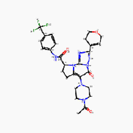 CC(=O)N1CCN(c2c3n(c4nc(C5=CCOCC5)nn4c2=O)C(C(=O)Nc2ccc(C(F)(F)F)cc2)CC3)CC1